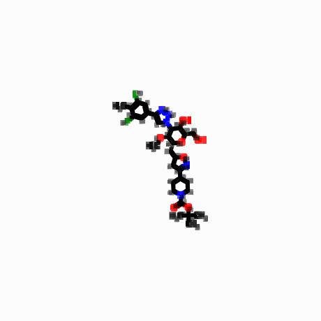 CO[C@@H]1[C@@H](n2cc(-c3cc(F)c(C)c(F)c3)nn2)[C@@H](O)[C@@H](CO)O[C@@H]1CC1CC(C2CCN(C(=O)OC(C)(C)C)CC2)=NO1